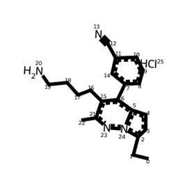 CCc1ccc2c(-c3cccc(C#N)c3)c(CCCCN)c(C)nn12.Cl